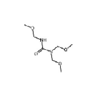 COCNC(=O)N(COC)COC